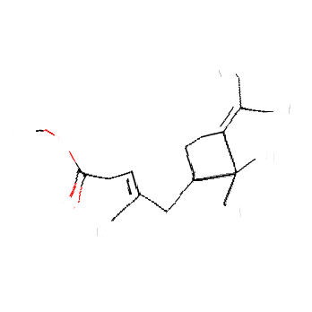 COC(=O)C=C(C)CC1CC(=C(C)C)C1(C)C